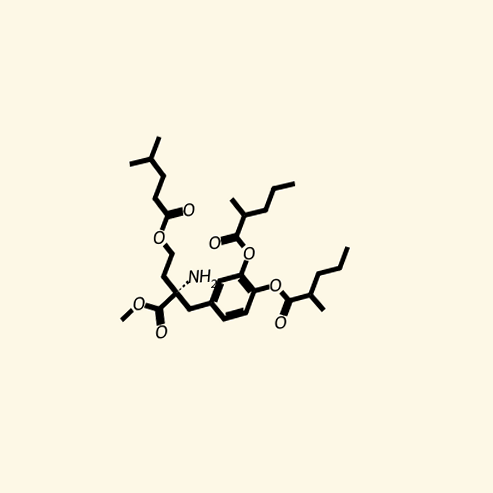 CCCC(C)C(=O)Oc1ccc(C[C@](N)(CCOC(=O)CCC(C)C)C(=O)OC)cc1OC(=O)C(C)CCC